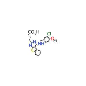 CCOc1ccc(CNc2nc(CCCC(=O)O)nc3sc4ccccc4c23)cc1Cl